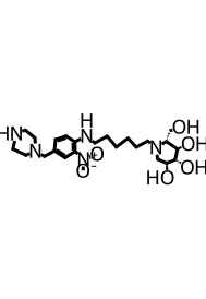 O=[N+]([O-])c1cc(CN2CCNCC2)ccc1NCCCCCCN1C[C@H](O)[C@@H](O)[C@H](O)[C@H]1CO